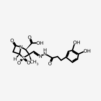 C[C@]1(/C=N/NC(=O)CCc2ccc(O)c(O)c2)[C@H](C(=O)O)N2C(=O)C[C@H]2S1(=O)=O